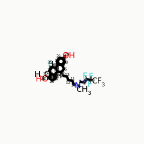 CN(C/C=C(\F)C(F)(F)C(F)(F)F)CCCCC[C@@H]1Cc2cc(O)ccc2[C@@H]2[C@@H]1[C@@H]1CC[C@H](O)[C@@]1(C)C[C@@H]2F